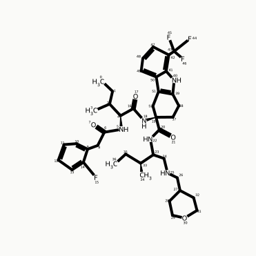 CCC(C)[C@H](NC(=O)Cc1ccccc1F)C(=O)N[C@]1(C(=O)NC(CNCC2CCOCC2)[C@@H](C)CC)CCc2[nH]c3c(C(F)(F)F)cccc3c2C1